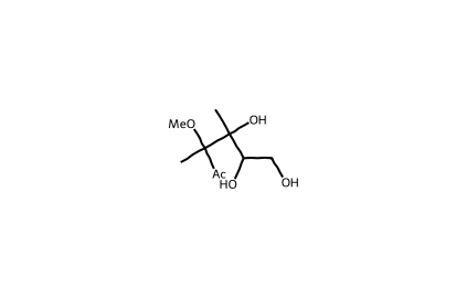 COC(C)(C(C)=O)C(C)(O)C(O)CO